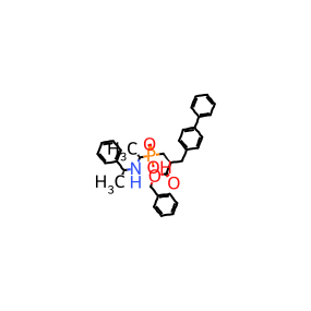 C[C@H](N[C@@H](C)P(=O)(O)C[C@@H](Cc1ccc(-c2ccccc2)cc1)C(=O)OCc1ccccc1)c1ccccc1